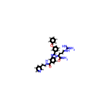 N=C(N)NCCCC(C(N)=O)n1c(-c2cccc(Oc3ccccc3)c2)nc2cc(C(=O)NCCc3cccnc3)ccc21